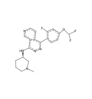 CN1CCC[C@@H](Nc2nnc(-c3ccc(OC(F)F)cc3F)c3ccncc23)C1